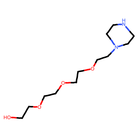 OCCOCCOCCOCCN1CCNCC1